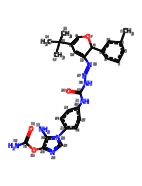 Cc1cccc(C2OC=C(C(C)(C)C)C=C2N=NNC(=O)Nc2ccc(-n3cnc(OC(N)=O)c3N)cc2)c1